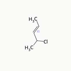 C/C=C/C(C)Cl